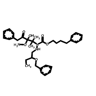 CCC(CNN(C(=O)OCCCCc1ccccc1)C(C)(C)C(O)(ON)C(=O)Cc1ccccc1)OCc1ccccc1